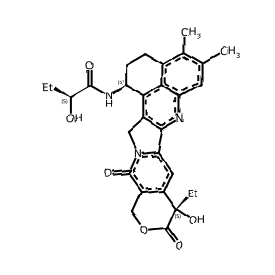 CC[C@H](O)C(=O)N[C@H]1CCc2c(C)c(C)cc3nc4c(c1c23)Cn1c-4cc2c(c1=O)COC(=O)[C@]2(O)CC